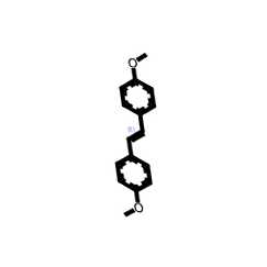 COc1ccc(/C=C/c2ccc(OC)cc2)cc1